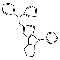 C(=C(c1ccccc1)c1ccccc1)c1ccc2c(c1)C1CCCCC1N2c1ccccc1